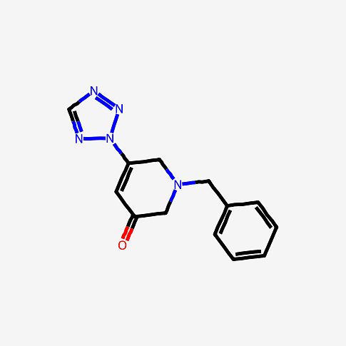 O=C1C=C(n2ncnn2)CN(Cc2ccccc2)C1